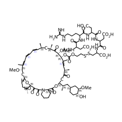 CO[C@H]1C[C@@H]2CC[C@@H](C)[C@@](O)(O2)C(=O)C(=O)N2CCCC[C@H]2C(=O)O[C@H]([C@H](C)C[C@@H]2CC[C@@H](O)[C@H](OC)C2)CC(=O)[C@H](C)/C=C(\C)[C@@H](OC(=O)OCCSSCC(NC(=O)C(CC(=O)O)NC(=O)C(CC(=O)O)NC(=O)C(CCCNC(=N)N)NC(=O)C(CC(=O)O)NC(C)=O)C(=O)O)[C@@H](OC)C(=O)[C@H](C)C[C@H](C)/C=C/C=C/C=C/1C